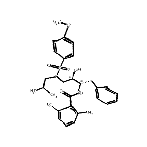 COc1ccc(S(=O)(=O)N(CC(C)C)C[C@@H](O)[C@H](Cc2ccccc2)NC(=O)c2c(C)cccc2C)cc1